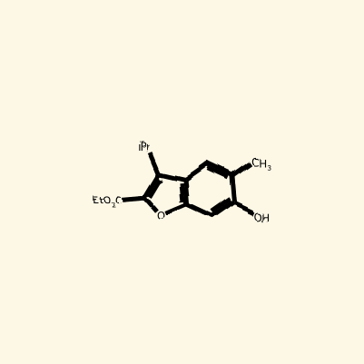 CCOC(=O)c1oc2cc(O)c(C)cc2c1C(C)C